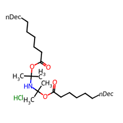 CCCCCCCCCCCCCCCC(=O)OC(C)(C)NC(C)(C)OC(=O)CCCCCCCCCCCCCCC.Cl